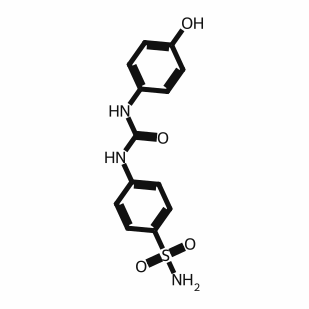 NS(=O)(=O)c1ccc(NC(=O)Nc2ccc(O)cc2)cc1